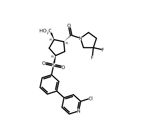 O=C(O)[C@@H]1C[C@H](S(=O)(=O)c2cccc(-c3ccnc(Cl)c3)c2)C[C@H]1C(=O)N1CCC(F)(F)C1